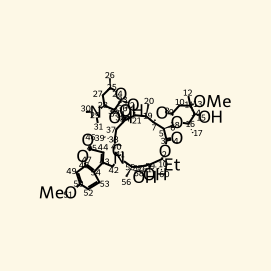 CC[C@H]1OC(=O)[C@H](C)[C@@H](O[C@H]2C[C@@](C)(OC)[C@@H](O)[C@H](C)O2)[C@H](C)[C@@H](O[C@@H]2O[C@H](C)C[C@H](N(C)C)[C@H]2O)[C@](C)(O)C[C@@H](C)CN(Cc2cc(=O)oc3cc(OC)ccc23)[C@H](C)[C@@H](O)[C@]1(C)O